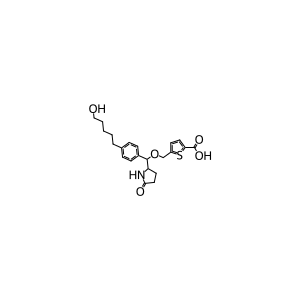 O=C1CCC(C(OCc2ccc(C(=O)O)s2)c2ccc(CCCCCO)cc2)N1